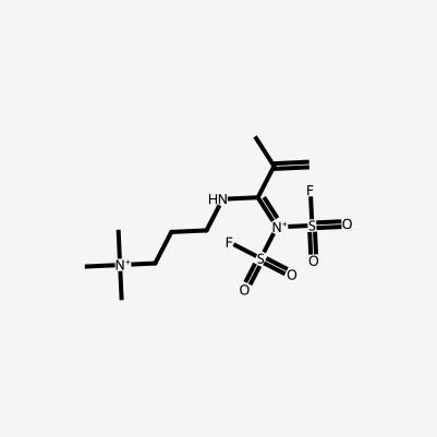 C=C(C)C(NCCC[N+](C)(C)C)=[N+](S(=O)(=O)F)S(=O)(=O)F